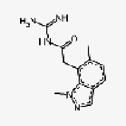 Cc1ccc2cnn(C)c2c1CC(=O)NC(=N)N